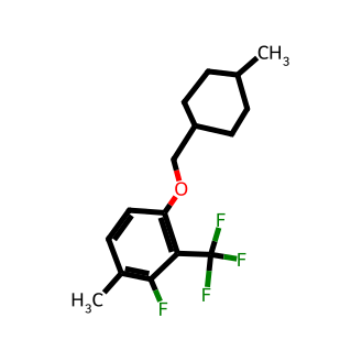 Cc1ccc(OCC2CCC(C)CC2)c(C(F)(F)F)c1F